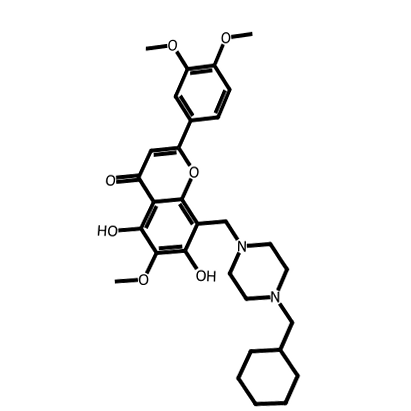 COc1ccc(-c2cc(=O)c3c(O)c(OC)c(O)c(CN4CCN(CC5CCCCC5)CC4)c3o2)cc1OC